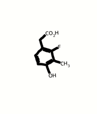 Cc1c(O)ccc(CC(=O)O)c1F